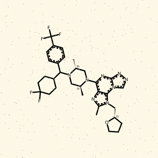 Cc1nc2c(N3C[C@@H](C)N(C(c4ccc(C(F)(F)F)cc4)C4CCC(F)(F)CC4)C[C@@H]3C)nc3nncn3c2n1C[C@@H]1CCCO1